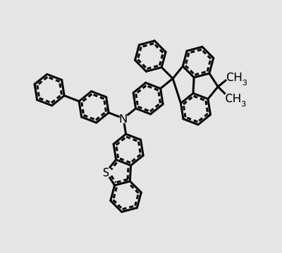 CC1(C)c2cccc3c2-c2c1cccc2C3(c1ccccc1)c1ccc(N(c2ccc(-c3ccccc3)cc2)c2ccc3c(c2)sc2ccccc23)cc1